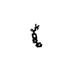 O=C(CCC(F)(F)F)N1CCC2(CC1)CC(c1ccccn1)=NO2